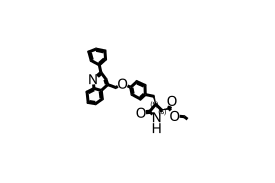 CCOC(=O)[C@H]1NC(=O)[C@H]1Cc1ccc(OCc2cc(-c3ccccc3)nc3ccccc23)cc1